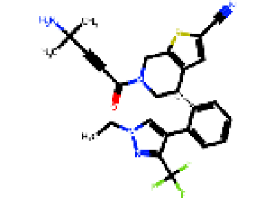 CCn1cc(-c2ccccc2[C@@H]2CN(C(=O)C#CC(C)(C)N)Cc3sc(C#N)cc32)c(C(F)(F)F)n1